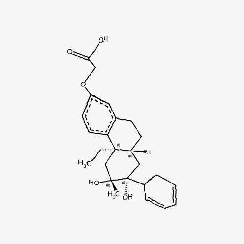 CC[C@@]12C[C@@](C)(O)[C@](O)(C3C=CC=CC3)C[C@H]1CCc1cc(OCC(=O)O)ccc12